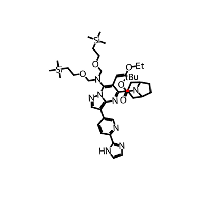 CCOC=Cc1c(C2CC3CCC(C2)N3C(=O)OC(C)(C)C)nc2c(-c3ccc(-c4ncc[nH]4)nc3)cnn2c1N(COCC[Si](C)(C)C)COCC[Si](C)(C)C